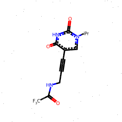 CC(C)n1cc(C#CCNC(=O)C(F)(F)F)c(=O)[nH]c1=O